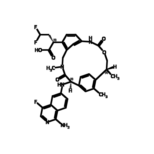 Cc1cc2ccc1[C@@H](C)COC(=O)Nc1ccc([C@@H](CC(F)F)C(=O)O)c(c1)CN(C)C(=O)[C@@H]2Nc1ccc2c(N)ncc(F)c2c1